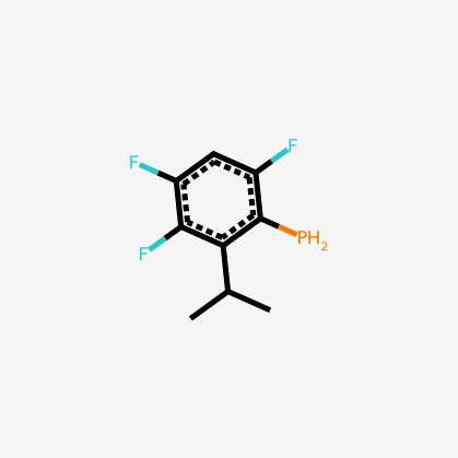 CC(C)c1c(F)c(F)cc(F)c1P